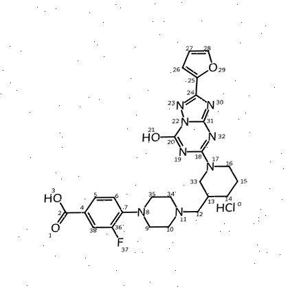 Cl.O=C(O)c1ccc(N2CCN(CC3CCCN(c4nc(O)n5nc(-c6ccco6)nc5n4)C3)CC2)c(F)c1